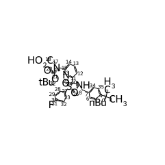 CCCCC(C)(C)c1ccc(CNC(c2cccc(N(CC(=O)O)C(=O)OC(C)(C)C)n2)S(=O)(=O)c2ccc(F)cc2)cc1